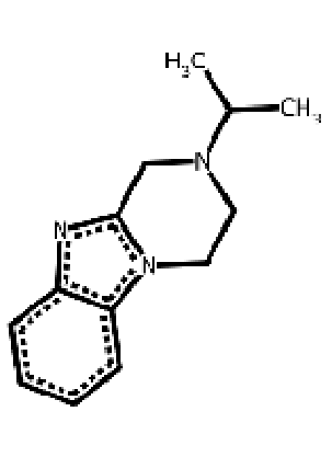 CC(C)N1CCn2c(nc3ccccc32)C1